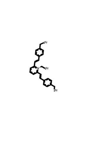 CC(C)Cc1ccc(/C=C/c2cccc(/C=C/c3ccc(CC(C)C)cc3)[n+]2CC(C)C)cc1